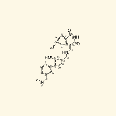 CN(C)Cc1cccc(-c2ccc(CN/C=C3/C(=O)NC(=O)c4ccc(I)cc43)cc2O)c1